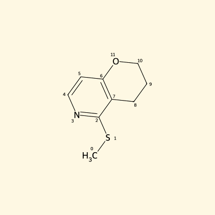 CSc1nccc2c1CCCO2